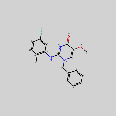 COc1cn(Cc2ccccc2)c(Nc2cc(F)ccc2C)nc1=O